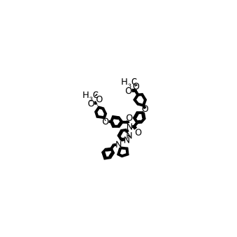 COC(=O)C1CCC(Oc2ccc(C(=O)N(C(=O)c3ccc(O[C@H]4CC[C@@H](C(=O)OC)CC4)cc3)c3ccc(N(Cc4ccccc4)C4CCCC4)nn3)cc2)CC1